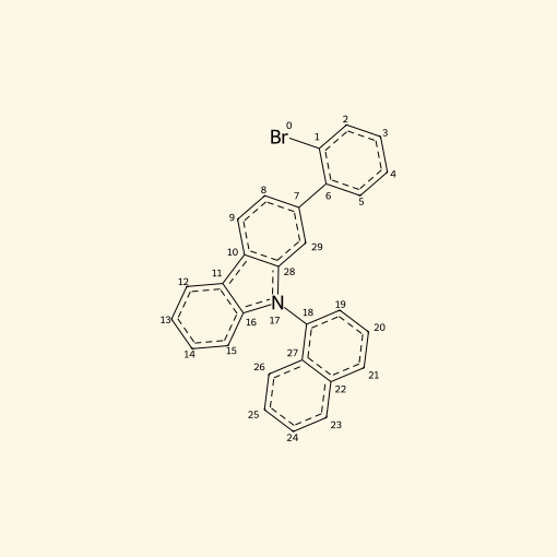 Brc1ccccc1-c1ccc2c3ccccc3n(-c3cccc4ccccc34)c2c1